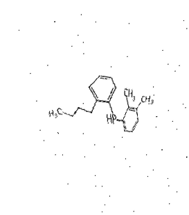 CCCCc1ccccc1Pc1cccc(C)c1C